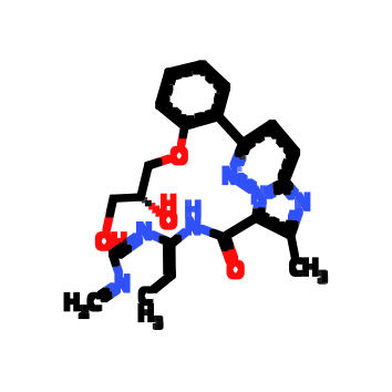 C=N/C=N\C(=C/C)NC(=O)c1c(C)nc2ccc(-c3ccccc3OC[C@H](O)CO)nn12